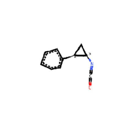 O=C=N[C@@H]1C[C@@H]1c1ccccc1